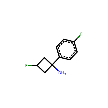 NC1(c2ccc(F)cc2)CC(F)C1